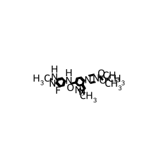 Cc1nc2c(F)cc(NC(=O)c3ccc(N4CCN(C(=O)OC(C)(C)C)CC4)c4cn(C)nc34)cc2[nH]1